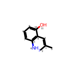 CC(C)=Cc1c(N)cccc1O